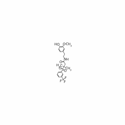 COc1cc(CCNC(=O)CC(C)(C)S(=O)(=O)c2cccc(C(F)(F)F)c2)ccc1O